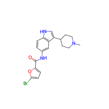 CN1CCC(c2c[nH]c3ccc(NC(=O)c4ccc(Br)o4)cc23)CC1